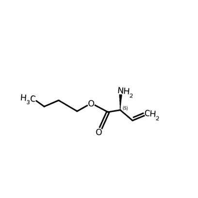 C=C[C@H](N)C(=O)OCCCC